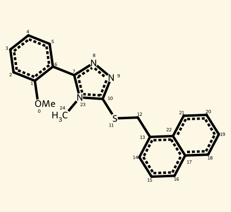 COc1ccccc1-c1nnc(SCc2cccc3ccccc23)n1C